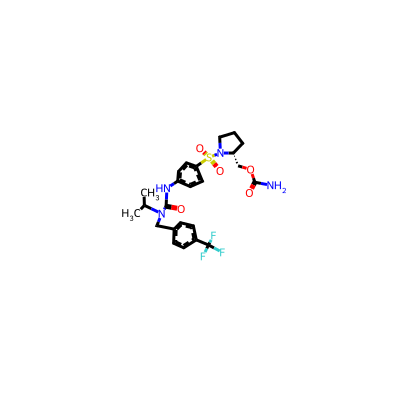 CC(C)N(Cc1ccc(C(F)(F)F)cc1)C(=O)Nc1ccc(S(=O)(=O)N2CCC[C@@H]2COC(N)=O)cc1